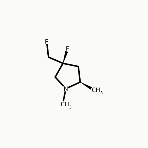 C[C@@H]1C[C@@](F)(CF)CN1C